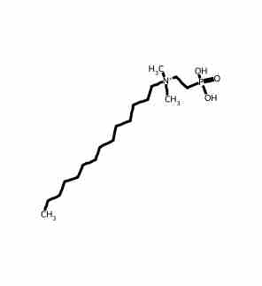 CCCCCCCCCCCCCC[N+](C)(C)CCP(=O)(O)O